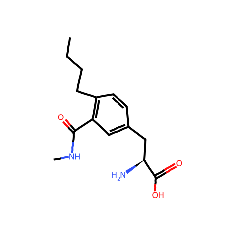 CCCCc1ccc(C[C@H](N)C(=O)O)cc1C(=O)NC